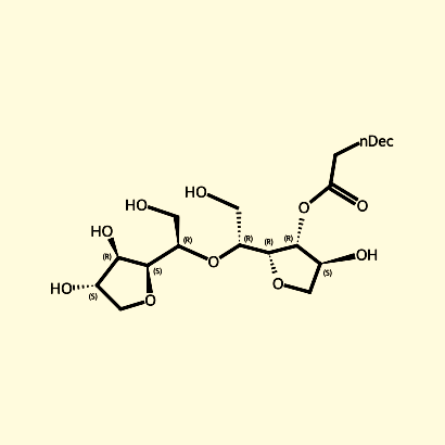 CCCCCCCCCCCC(=O)O[C@H]1[C@@H]([C@@H](CO)O[C@H](CO)[C@H]2OC[C@H](O)[C@H]2O)OC[C@@H]1O